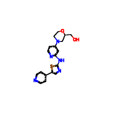 OCC1CN(c2ccnc(Nc3ncc(-c4ccncc4)s3)c2)CCO1